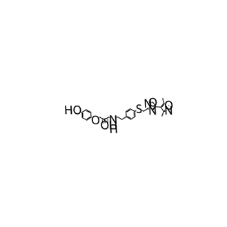 Cc1noc(C)c1-c1nc(CSc2ccc(CCNC[C@H](O)COc3ccc(O)cc3)cc2)no1